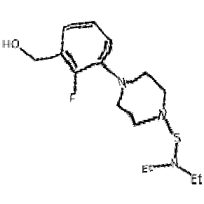 CCN(CC)SN1CCN(c2cccc(CO)c2F)CC1